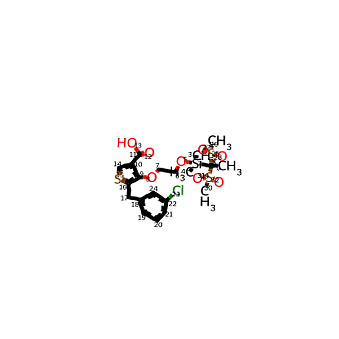 CC([Si](C)(C)OCCOc1c(C(=O)O)csc1Cc1cccc(Cl)c1)(S(C)(=O)=O)S(C)(=O)=O